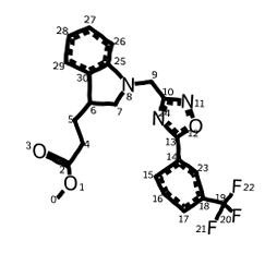 COC(=O)CCC1CN(Cc2noc(-c3cccc(C(F)(F)F)c3)n2)c2ccccc21